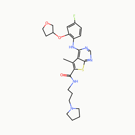 Cc1c(C(=O)NCCCN2CCCC2)sc2ncnc(Nc3ccc(F)cc3OC3CCOC3)c12